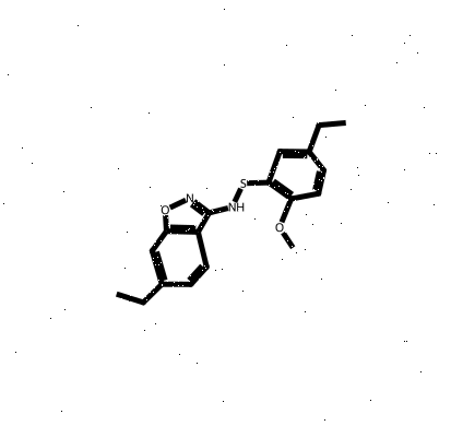 CCc1ccc(OC)c(SNc2noc3cc(CC)ccc23)c1